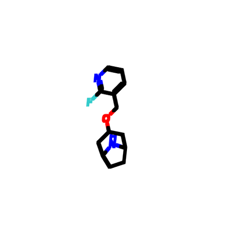 Fc1ncccc1COC1CC2CCC(C1)N2